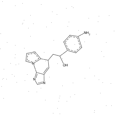 Nc1ccc(C(O)CC2C=C3N=CN=C3n3cccc32)cc1